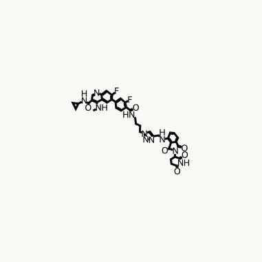 CNc1c(C(=O)NC2CC2)cnc2cc(F)c(-c3ccc(C(=O)NCCCCn4cc(CNc5cccc6c5C(=O)N(C5CCC(=O)NC5=O)C6=O)nn4)c(F)c3)cc12